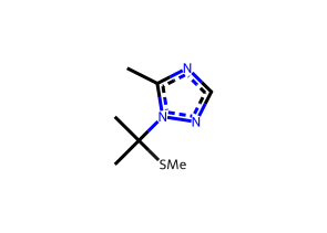 CSC(C)(C)n1ncnc1C